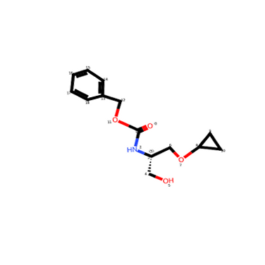 O=C(N[C@@H](CO)COC1CC1)OCc1ccccc1